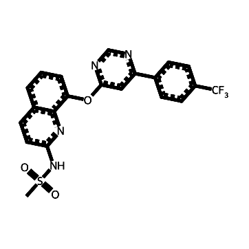 CS(=O)(=O)Nc1ccc2cccc(Oc3cc(-c4ccc(C(F)(F)F)cc4)ncn3)c2n1